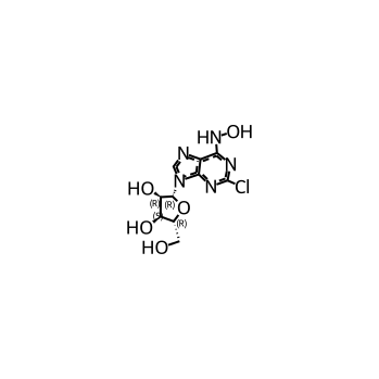 OC[C@H]1O[C@@H](n2cnc3c(NO)nc(Cl)nc32)[C@H](O)[C@@H]1O